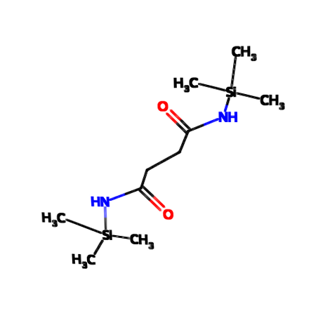 C[Si](C)(C)NC(=O)CCC(=O)N[Si](C)(C)C